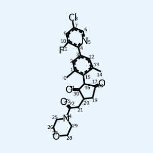 Cc1cc(-c2ncc(Cl)cc2F)cc(C)c1C1C(=O)CC(CC(=O)N2CCOCC2)C1=O